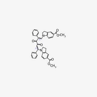 COC(=O)c1ccc2c(c1)CCN2/C=C(/C(=O)C(=O)/C=C(/c1ccccc1)N1CCc2cc(C(=O)OC)ccc21)c1ccccc1